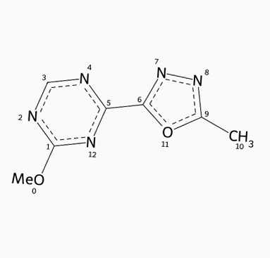 COc1ncnc(-c2nnc(C)o2)n1